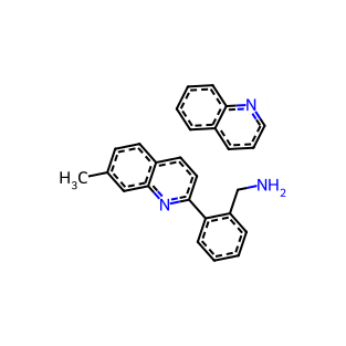 Cc1ccc2ccc(-c3ccccc3CN)nc2c1.c1ccc2ncccc2c1